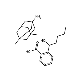 CC12CC3CC(C)(C1)CC(N)(C3)C2.CCCCC(O)c1ccccc1C(=O)O